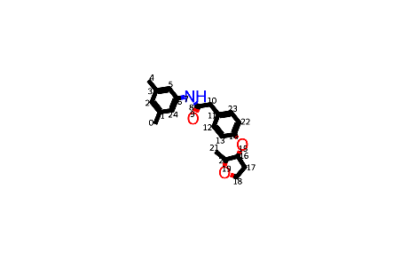 Cc1cc(C)cc(NC(=O)Cc2ccc(OC3CCOC3C)cc2)c1